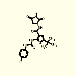 CC(C)(C)c1cc(C(=O)N[C@@H]2CC(=O)NC2=O)c(NC(=O)Nc2ccc(Cl)cc2)s1